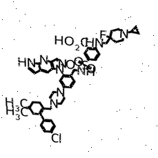 CC1(C)CCC(CN2CCN(c3ccc(C(=O)NS(=O)(=O)c4ccc(NCC5(F)CCN(C6CC6)CC5)c(C(=O)O)c4)c(-n4ncc5nc6[nH]ccc6cc54)c3)CC2)=C(c2ccc(Cl)cc2)C1